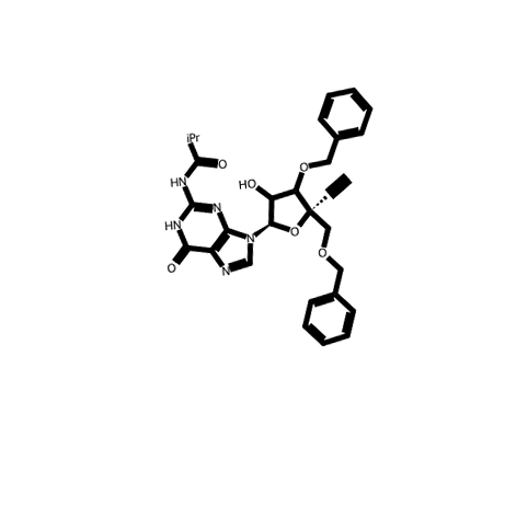 C#C[C@]1(COCc2ccccc2)O[C@@H](n2cnc3c(=O)[nH]c(NC(=O)C(C)C)nc32)C(O)C1OCc1ccccc1